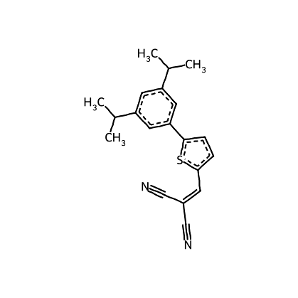 CC(C)c1cc(-c2ccc(C=C(C#N)C#N)s2)cc(C(C)C)c1